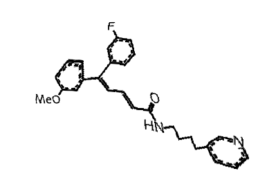 COc1cccc(C(=CC=CC(=O)NCCCCc2cccnc2)c2cccc(F)c2)c1